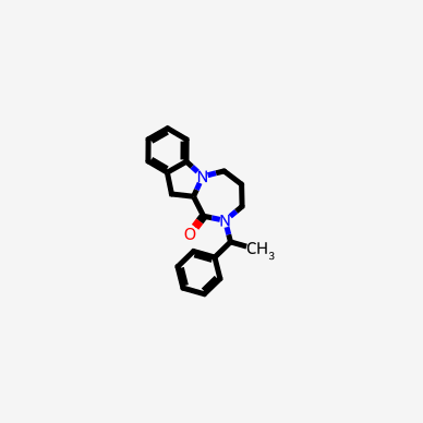 CC(c1ccccc1)N1CCCN2c3ccccc3CC2C1=O